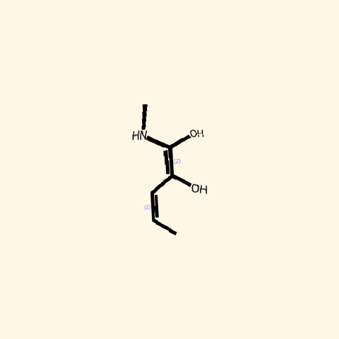 C/C=C\C(O)=C(\O)NC